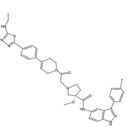 CCNc1nnc(-c2ccc(C3=CCN(C(=O)CN4CC[C@@](OC)(C(=O)Nc5ccc6[nH]nc(-c7ccc(F)cc7)c6c5)C4)CC3)cc2)o1